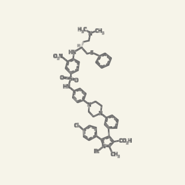 CCn1c(C)c(C(=O)O)c(-c2cccc(N3CCN(c4ccc(NS(=O)(=O)c5ccc(N[C@H](CCN(C)C)CSc6ccccc6)c([N+](=O)[O-])c5)cc4)CC3)c2)c1-c1ccc(Cl)cc1